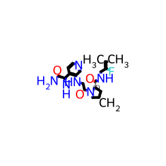 C=C1C[C@@H](C(=O)NCC(F)=C(C)C)N(C(=O)CNc2cnccc2C(=N)C(N)=O)C1